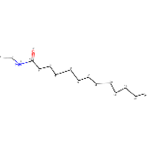 [CH2]CNC(=O)CCCCCCCCCCCC